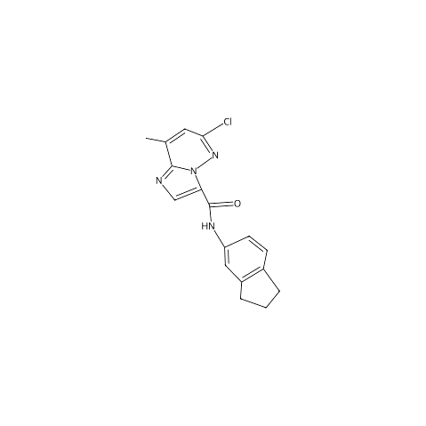 Cc1cc(Cl)nn2c(C(=O)Nc3ccc4c(c3)CCC4)cnc12